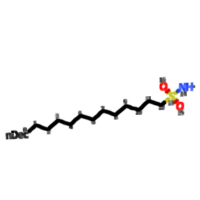 CCCCCCCCCCCCCCCCCCCCCCS([NH])(=O)=O